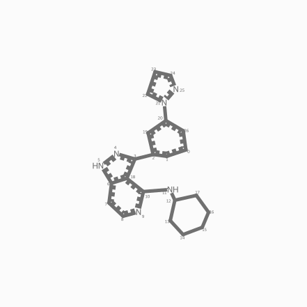 c1cc(-c2n[nH]c3ccnc(NC4CCCCC4)c23)cc(-n2cccn2)c1